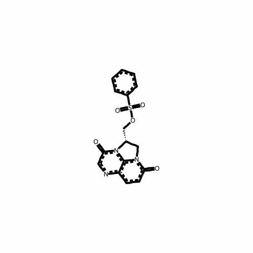 O=c1ccc2ncc(=O)n3c2n1C[C@H]3COS(=O)(=O)c1ccccc1